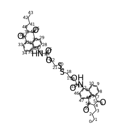 CCCCC1C(=O)c2cccc3c(NC(=O)OCCSSCCOC(=O)Nc4ccc5c6c(cccc46)C(=O)C(CCCC)C5=O)ccc(c23)C1=O